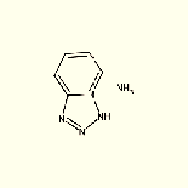 N.c1ccc2[nH]nnc2c1